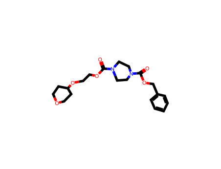 O=C(OCCOC1CCOCC1)N1CCN(C(=O)OCc2ccccc2)CC1